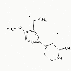 CCc1cc(N2CCN[C@H](C)C2)ccc1OC